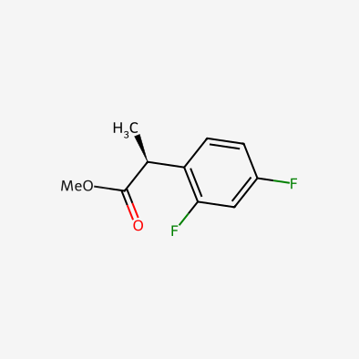 COC(=O)[C@@H](C)c1ccc(F)cc1F